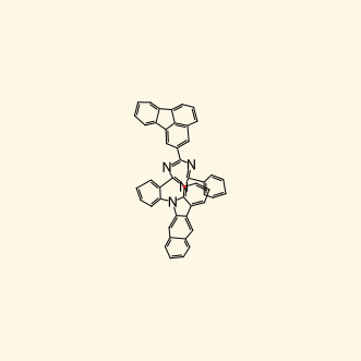 c1ccc(-c2nc(-c3cc4c5c(cccc5c3)-c3ccccc3-4)nc(-c3ccccc3-n3c4ccccc4c4cc5ccccc5cc43)n2)cc1